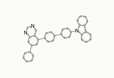 c1ccc(-c2cc(-c3ccc(-c4ccc(-n5c6ccccc6c6ccccc65)cc4)cc3)c3cncnc3c2)cc1